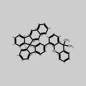 CC1(C)c2ccccc2Oc2c(-c3ccc4c(c3)C3(c5ccccc5-4)c4ccccc4-c4cc5ccccc5cc43)cccc21